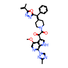 C=C(C)c1nnc(C(=C2CCN(C(=O)C(=O)c3c[nH]c4c(-n5cnc(C)n5)ncc(OC)c34)CC2)c2ccccc2)o1